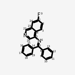 Fc1ccc2c(N=C(c3ccccc3)c3ccccc3)cncc2c1